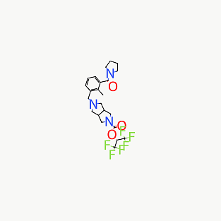 Cc1c(CN2CC3CN(C(=O)OC(C(F)(F)F)C(F)(F)F)CC3C2)cccc1C(=O)N1CCCC1